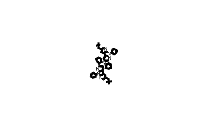 CC(C)(C)Cc1cnc2c(c1)c1cc([Si](c3ccccc3)(c3ccccc3)c3cnc4c(c3)c3cc(CC(C)(C)C)cnc3n4-c3ccccc3)cnc1n2-c1ccccc1